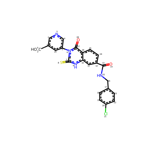 O=C(O)c1cncc(-n2c(=S)[nH]c3cc(C(=O)NCc4ccc(Cl)cc4)ccc3c2=O)c1